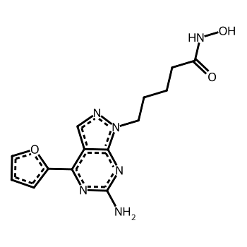 Nc1nc(-c2ccco2)c2cnn(CCCCC(=O)NO)c2n1